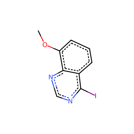 COc1cccc2c(I)ncnc12